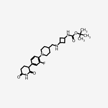 CC(C)(C)OC(=O)NC1CC(NCC2CCN(c3ccc(C4CCC(=O)NC4=O)cc3F)CC2)C1